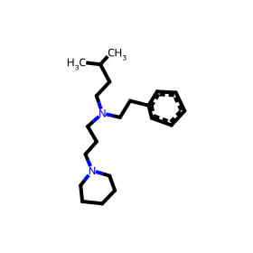 CC(C)CCN(CCCN1CCCCC1)CCc1ccccc1